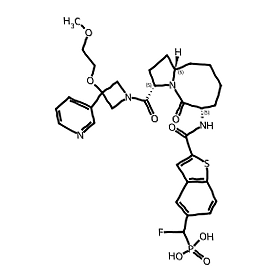 COCCOC1(c2cccnc2)CN(C(=O)[C@@H]2CC[C@@H]3CCCC[C@H](NC(=O)c4cc5cc(C(F)P(=O)(O)O)ccc5s4)C(=O)N32)C1